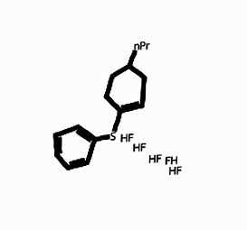 CCCC1CC=C(Sc2ccccc2)CC1.F.F.F.F.F